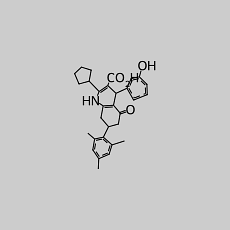 Cc1cc(C)c(C2CC(=O)C3=C(C2)NC(C2CCCC2)=C(C(=O)O)C3c2cccc(O)c2)c(C)c1